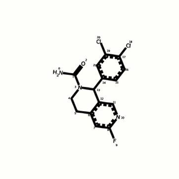 NC(=O)N1CCc2cc(F)ncc2C1c1ccc(Cl)c(Cl)c1